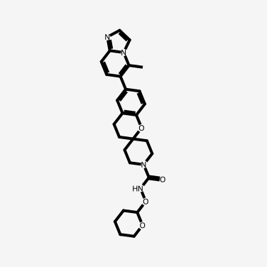 Cc1c(-c2ccc3c(c2)CCC2(CCN(C(=O)NOC4CCCCO4)CC2)O3)ccc2nccn12